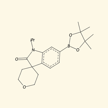 CC(C)N1C(=O)C2(CCOCC2)c2ccc(B3OC(C)(C)C(C)(C)O3)cc21